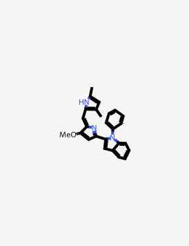 COC1=CC(c2cc3ccccc3n2-c2[c]cccc2)=NC1=Cc1[nH]c(C)cc1C